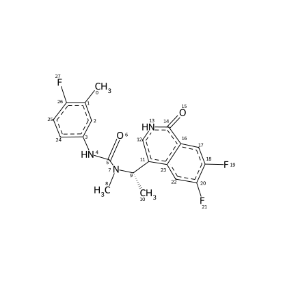 Cc1cc(NC(=O)N(C)[C@@H](C)c2c[nH]c(=O)c3cc(F)c(F)cc23)ccc1F